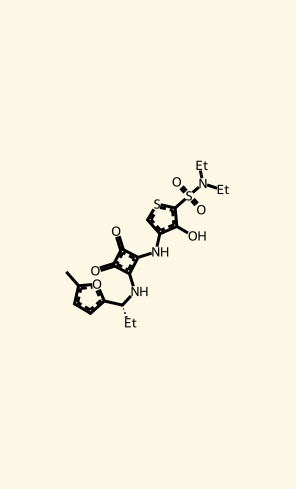 CC[C@@H](Nc1c(Nc2csc(S(=O)(=O)N(CC)CC)c2O)c(=O)c1=O)c1ccc(C)o1